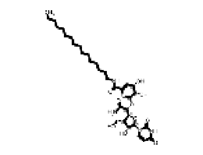 CCCCCCCCCCCCCCCCNC(=O)C1=C[C@H](O)[C@H](O)[C@@H](O[C@@H](C(N)=O)[C@H]2O[C@@H](n3ccc(=O)[nH]c3=O)[C@H](O)[C@@H]2CO)O1